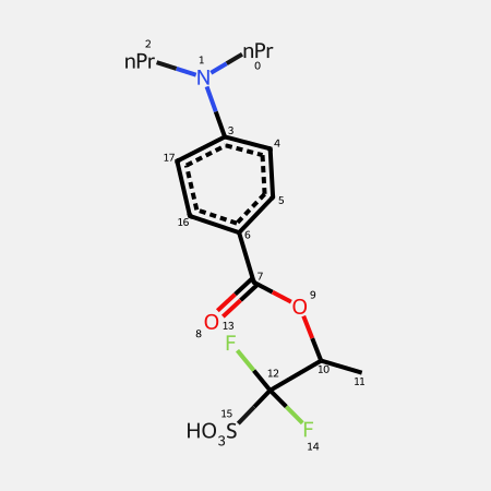 CCCN(CCC)c1ccc(C(=O)OC(C)C(F)(F)S(=O)(=O)O)cc1